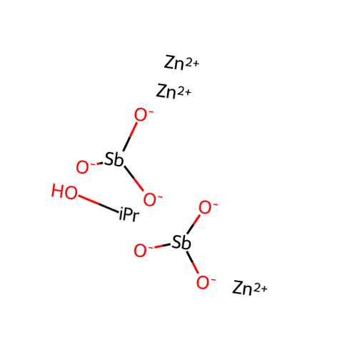 CC(C)O.[O-][Sb]([O-])[O-].[O-][Sb]([O-])[O-].[Zn+2].[Zn+2].[Zn+2]